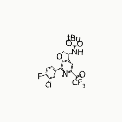 CC(C)(C)OC(=O)NC1COc2c1cc(C(=O)C(F)(F)F)nc2-c1ccc(F)c(Cl)c1